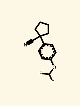 N#CC1(c2ccc(OC(F)F)cc2)CCCC1